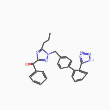 CCCc1nc(C(=O)c2ccccc2)nn1Cc1ccc(-c2ccccc2-c2nnn[nH]2)cc1